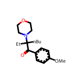 CCCCC(CC)(C(=O)c1ccc(OC)cc1)N1CCOCC1